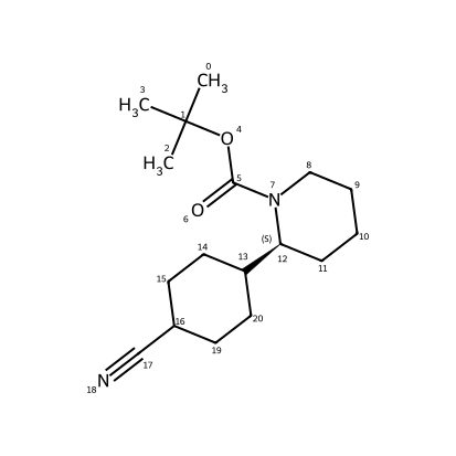 CC(C)(C)OC(=O)N1CCCC[C@H]1C1CCC(C#N)CC1